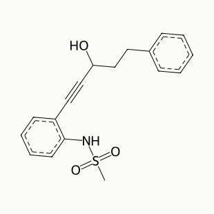 CS(=O)(=O)Nc1ccccc1C#CC(O)CCc1ccccc1